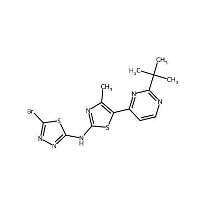 Cc1nc(Nc2nnc(Br)s2)sc1-c1ccnc(C(C)(C)C)n1